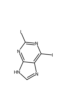 Ic1nc(I)c2nc[nH]c2n1